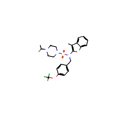 Cc1c(N(Cc2ccc(OC(F)(F)F)cc2)S(=O)(=O)N2CCN(C(C)C)CC2)sc2ccccc12